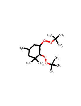 CC1CC(OOC(C)(C)C)C(OOC(C)(C)C)C(C)(C)C1